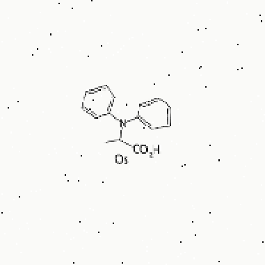 CC(C(=O)O)N(c1ccccc1)c1ccccc1.[Os]